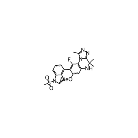 COc1cc2c(c(F)c1-c1cccc3c1ccn3S(C)(=O)=O)-n1c(C)nnc1C(C)(C)N2